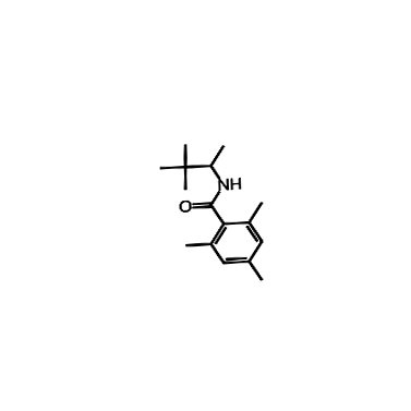 Cc1cc(C)c(C(=O)NC(C)C(C)(C)C)c(C)c1